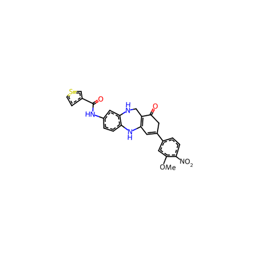 COc1cc(C2=CC3=C(CNc4cc(NC(=O)c5ccsc5)ccc4N3)C(=O)C2)ccc1[N+](=O)[O-]